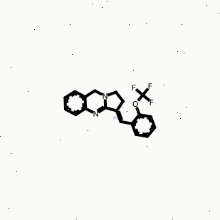 FC(F)(F)Oc1ccccc1/C=C1\CCN2Cc3ccccc3N=C12